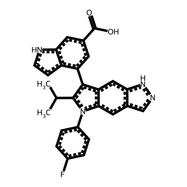 CC(C)c1c(-c2cc(C(=O)O)cc3[nH]ccc23)c2cc3[nH]ncc3cc2n1-c1ccc(F)cc1